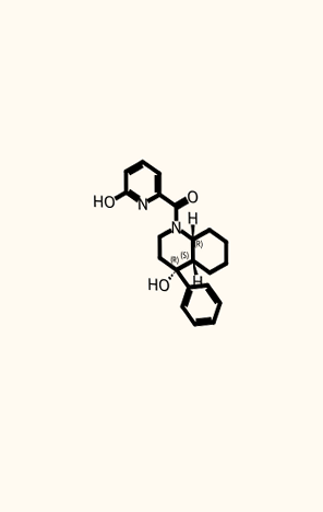 O=C(c1cccc(O)n1)N1CC[C@](O)(c2ccccc2)[C@H]2CCCC[C@H]21